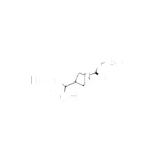 CC(C)(C)OC(=O)N1CC(C(O)C(=O)O)C1